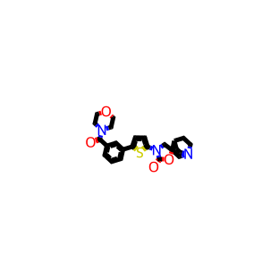 O=C(c1cccc(-c2ccc(N3CC4(CN5CCC4CC5)OC3=O)s2)c1)N1CCOCC1